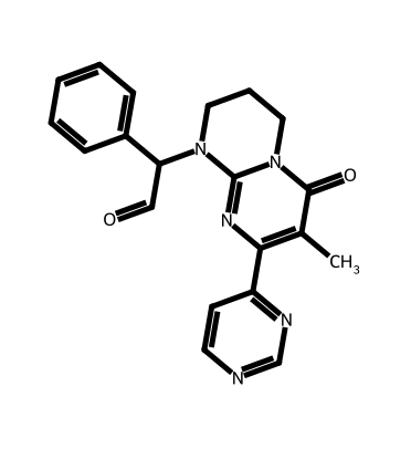 Cc1c(-c2ccncn2)nc2n(c1=O)CCCN2C(C=O)c1ccccc1